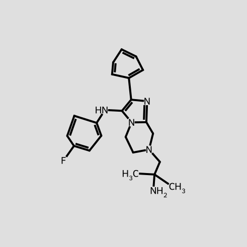 CC(C)(N)CN1CCn2c(nc(-c3ccccc3)c2Nc2ccc(F)cc2)C1